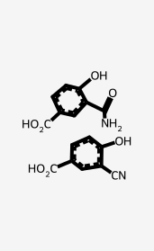 N#Cc1cc(C(=O)O)ccc1O.NC(=O)c1cc(C(=O)O)ccc1O